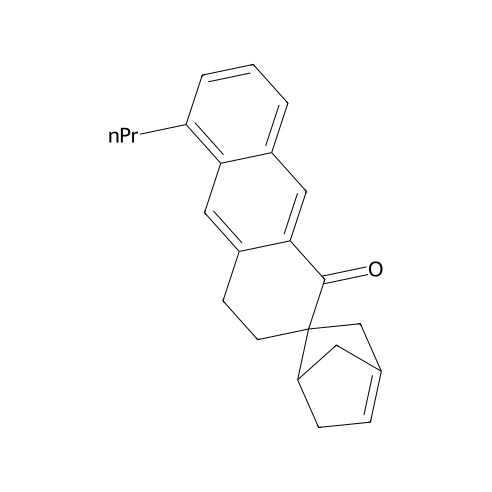 CCCc1cccc2cc3c(cc12)CCC1(CC2=CCC1C2)C3=O